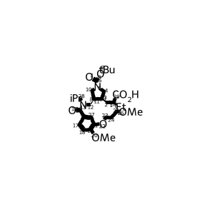 CC[C@@H](C[C@@H]1CN(C(=O)OC(C)(C)C)C[C@H]1CN(C(=O)c1ccc(OC)c(OCCCOC)c1)C(C)C)C(=O)O